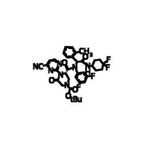 Cc1ccccc1C(C(=O)NC1CCC(F)(F)CC1)N(C(=O)[C@@H]1CN(C(=O)OC(C)(C)C)CC(=O)N1c1nccc(C#N)n1)c1cc(F)cc(F)c1